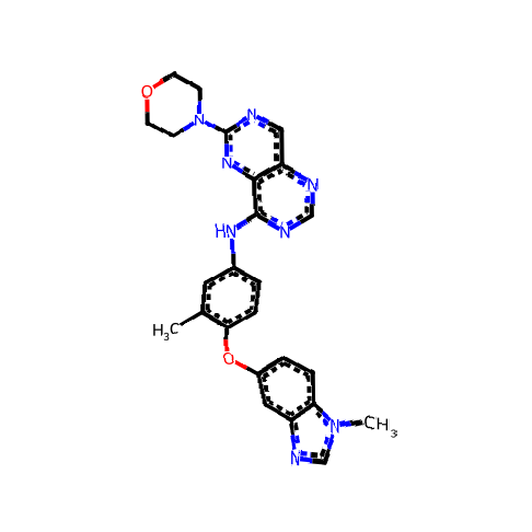 Cc1cc(Nc2ncnc3cnc(N4CCOCC4)nc23)ccc1Oc1ccc2c(c1)ncn2C